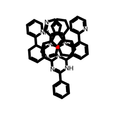 C1=CCNC(C2CC=CC(C3N=C(c4ccccc4)NC(c4cccc(-c5ccccn5)c4N4C5=C(C=CCC5)C5C=CN=CC54)N3)=C2n2c3c(c4ccncc42)C=CCC3)=C1